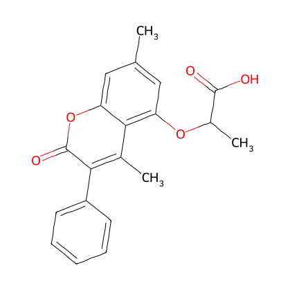 Cc1cc(OC(C)C(=O)O)c2c(C)c(-c3ccccc3)c(=O)oc2c1